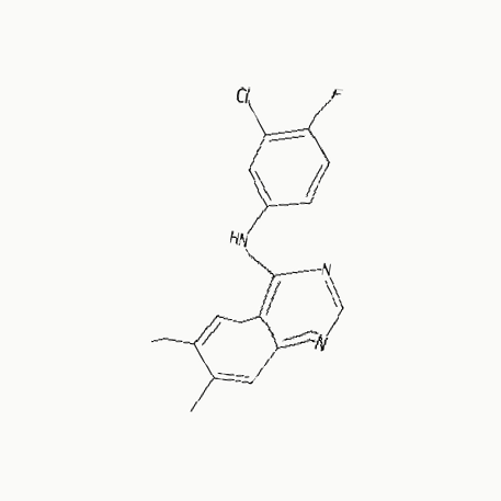 Cc1cc2ncnc(Nc3ccc(F)c(Cl)c3)c2cc1C